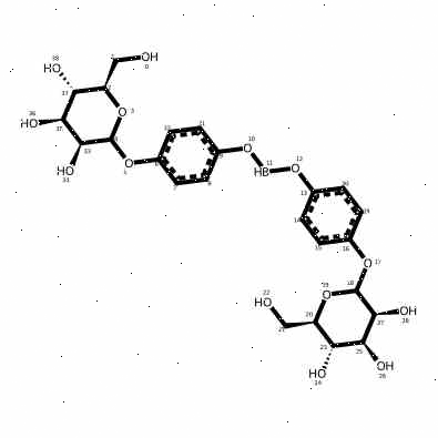 OC[C@H]1OC(Oc2ccc(OBOc3ccc(OC4O[C@H](CO)[C@@H](O)[C@H](O)[C@@H]4O)cc3)cc2)[C@@H](O)[C@@H](O)[C@@H]1O